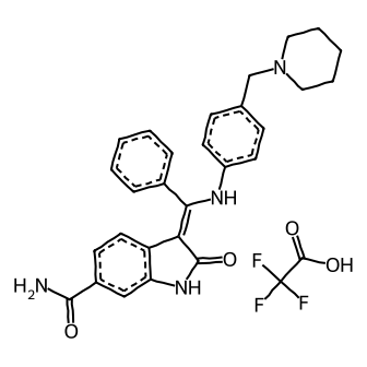 NC(=O)c1ccc2c(c1)NC(=O)/C2=C(\Nc1ccc(CN2CCCCC2)cc1)c1ccccc1.O=C(O)C(F)(F)F